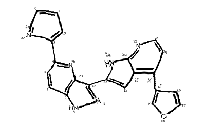 c1ccc(-c2ccc3[nH]nc(-c4cc5c(-c6ccoc6)ccnc5[nH]4)c3n2)nc1